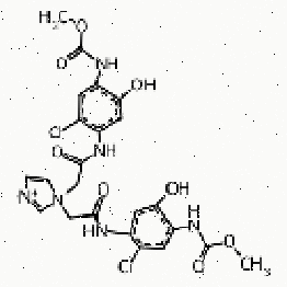 COC(=O)Nc1cc(Cl)c(NC(=O)C[N+]2(CC(=O)Nc3cc(O)c(NC(=O)OC)cc3Cl)C=C[N+]=C2)cc1O